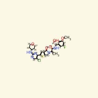 COc1cc(F)cc([C@@H](CO)NC(=O)[C@@H](C)N2Cc3sc(-c4nc(NC5CCOCC5)ncc4Cl)cc3C2=O)c1